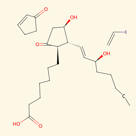 C=CI.CCCCC[C@H](O)/C=C/[C@H]1[C@H](O)CC(=O)[C@@H]1CCCCCCC(=O)O.O=C1C=CCC1